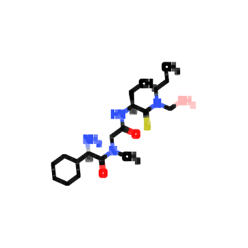 BCN(CCC)C(=S)[C@H](CC)NC(=O)CN(C)C(=O)[C@@H](N)C1CCCCC1